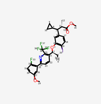 [3H]C[C@H](Oc1cc(C(C2CC2)[C@H](C)C(=O)OC)ccc1I)c1ccc(-c2cc(OC)ccc2F)nc1C(F)(F)F